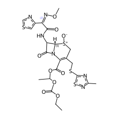 CCOC(=O)OC(C)OC(=O)C1=C(CSc2nc(C)ns2)C[S+]([O-])[C@H]2C(NC(=O)/C(=N\OC)c3cscn3)C(=O)N12